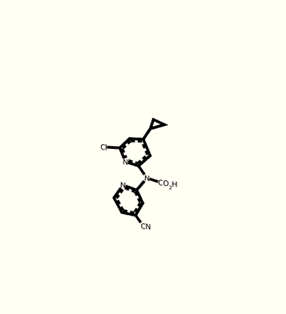 N#Cc1ccnc(N(C(=O)O)c2cc(C3CC3)cc(Cl)n2)c1